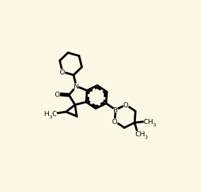 CC1CC12C(=O)N(C1CCCCO1)c1ccc(B3OCC(C)(C)CO3)cc12